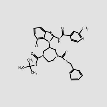 Cc1cc(C(=O)Nc2nc3cccc(Cl)c3n2C2CN(C(=O)OCc3ccccc3)CCN(C(=O)OC(C)(C)C)C2)ccn1